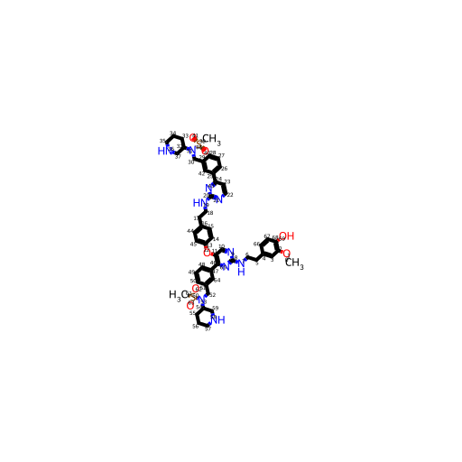 COc1cc(CCNc2ncc(Oc3ccc(CCNc4nccc(-c5cccc(CN(C6CCCNC6)S(C)(=O)=O)c5)n4)cc3)c(-c3cccc(CN(C4CCCNC4)S(C)(=O)=O)c3)n2)ccc1O